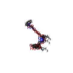 CCC[C@@H]1O[C@@H]2C[C@H]3[C@@H]4CCC5=CC(=O)C=C[C@]5(C)[C@H]4[C@@H](O)C[C@]3(C)[C@]2(C(=O)COc2ccc(NC(=O)[C@H](C)NC(=O)[C@@H](NC(=O)CCOCCOCCOCCOCCNC(=O)CCC(=O)N3Cc4ccccc4C#Cc4ccccc43)C(C)C)cc2)O1